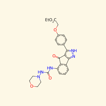 CCOC(=O)COc1ccc(-c2[nH]nc3c2C(=O)c2c(NC(=O)NN4CCOCC4)cccc2-3)cc1